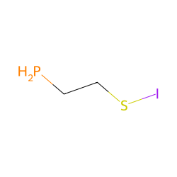 PCCSI